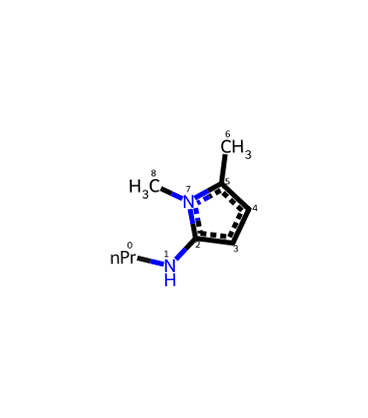 CCCNc1ccc(C)n1C